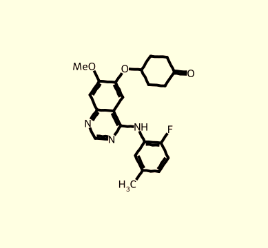 COc1cc2ncnc(Nc3cc(C)ccc3F)c2cc1OC1CCC(=O)CC1